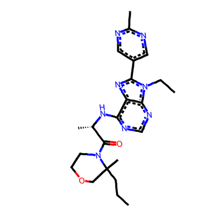 CCCC1(C)COCCN1C(=O)[C@H](C)Nc1ncnc2c1nc(-c1cnc(C)nc1)n2CC